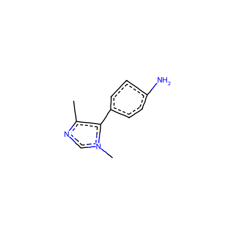 Cc1ncn(C)c1-c1ccc(N)cc1